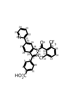 O=C(O)c1ccc(-c2nn(C(=O)c3c(Cl)cccc3C(F)(F)F)c3cc(-c4ccccn4)ccc23)cc1